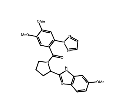 COc1ccc2nc(C3CCCN3C(=O)c3cc(OC)c(OC)cc3-n3nccn3)[nH]c2c1